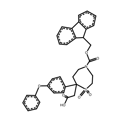 O=C(O)CC1(c2ccc(Oc3ccccc3)cc2)CCN(C(=O)OCC2c3ccccc3-c3ccccc32)CCS1(=O)=O